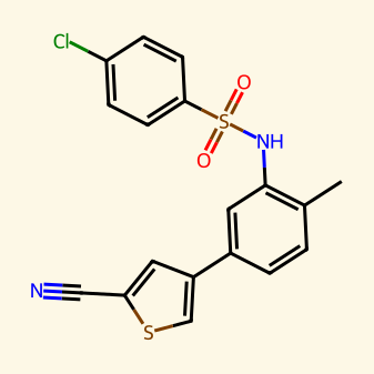 Cc1ccc(-c2csc(C#N)c2)cc1NS(=O)(=O)c1ccc(Cl)cc1